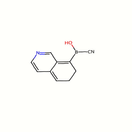 N#CB(O)C1=c2cnccc2=CCC1